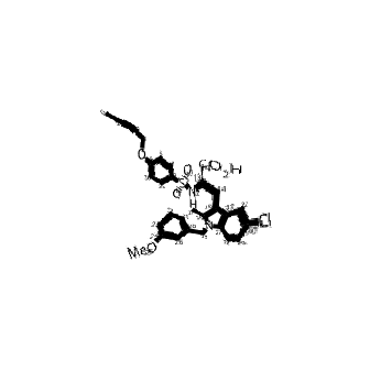 CC#CCOc1ccc(S(=O)(=O)N[C@@H](Cc2c(C)n(Cc3cccc(OC)c3)c3ccc(Cl)cc23)C(=O)O)cc1